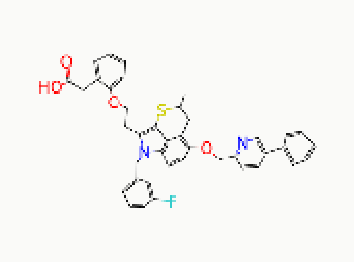 CC1Cc2c(OCc3ccc(-c4ccccc4)cn3)ccc3c2c(c(CCOc2ccccc2CC(=O)O)n3Cc2cccc(F)c2)S1